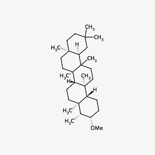 CO[C@H]1CC[C@@H]2[C@](C)(CC[C@H]3[C@@]2(C)CCC2(C)[C@@H]4CC(C)(C)CC[C@]4(C)CC[C@]32C)[C@H]1C